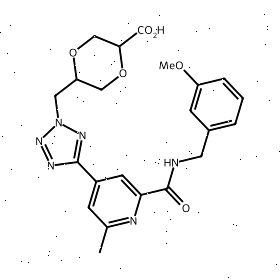 COc1cccc(CNC(=O)c2cc(-c3nnn(CC4COC(C(=O)O)CO4)n3)cc(C)n2)c1